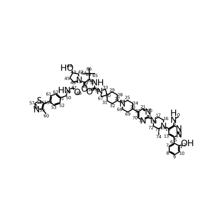 CNc1nnc(-c2ccccc2O)cc1N1CCN(c2ncc(C3CCN(C4CCC5(CC4)CN(C(=O)N[C@H](C(=O)N4C[C@H](O)C[C@H]4C(=O)NCc4ccc(-c6scnc6C)cc4)C(C)(C)C)C5)CC3)cn2)C[C@@H]1C